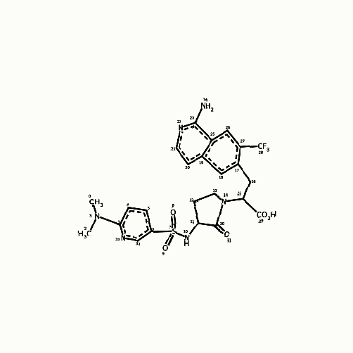 CN(C)c1ccc(S(=O)(=O)NC2CCN(C(Cc3cc4ccnc(N)c4cc3C(F)(F)F)C(=O)O)C2=O)cn1